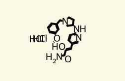 COc1cccc(CN2CC[C@@H](Nc3ccc(C=C(O)C(N)=O)cn3)C2)c1.Cl.Cl